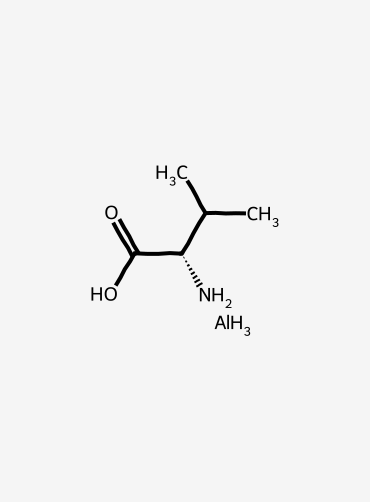 CC(C)[C@H](N)C(=O)O.[AlH3]